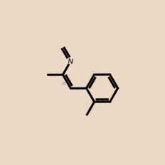 C=N/C(C)=C\c1ccccc1C